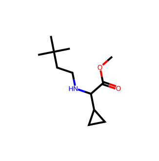 COC(=O)C(NCCC(C)(C)C)C1CC1